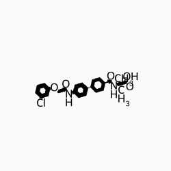 CC(C)(NC(=O)[C@H]1CC[C@H](c2ccc(NC(=O)COc3cccc(Cl)c3)cc2)CC1)C(=O)O